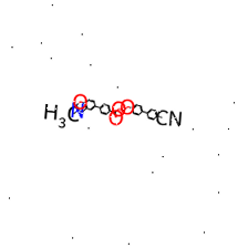 CN1COc2ccc(-c3ccc(C(=O)OCOc4ccc(-c5ccc(C#N)cc5)cc4)cc3)cc2C1